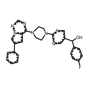 OC(c1ccc(F)cc1)c1cnc(N2CCN(c3ncnn4cc(-c5ccccc5)cc34)CC2)nc1